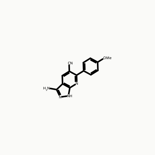 COc1ccc(-c2nc3[nH]nc(N)c3cc2C#N)cc1